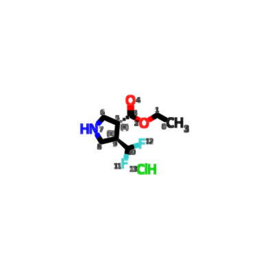 CCOC(=O)[C@H]1CNC[C@@H]1C(F)F.Cl